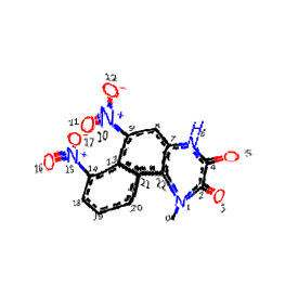 Cn1c(=O)c(=O)[nH]c2cc([N+](=O)[O-])c3c([N+](=O)[O-])cccc3c21